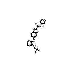 O=C(N[C@H]1CCOC1)c1nc2ccc(Oc3ncccc3OCC(F)(F)F)cc2s1